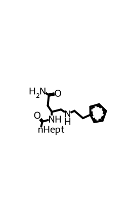 CCCCCCCC(=O)NC(CNCCc1ccccc1)CC(N)=O